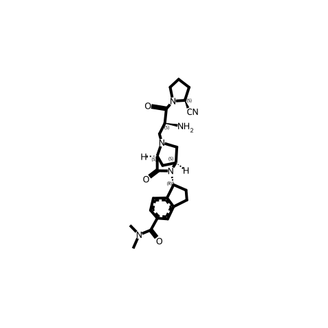 CN(C)C(=O)c1ccc2c(c1)CC[C@H]2N1C(=O)[C@@H]2C[C@H]1CN2C[C@H](N)C(=O)N1CCC[C@H]1C#N